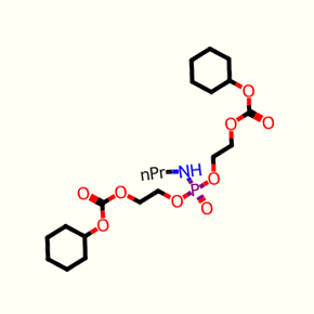 CCCNP(=O)(OCCOC(=O)OC1CCCCC1)OCCOC(=O)OC1CCCCC1